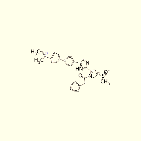 C/C=C(\C)c1ccc(-c2ccc(-c3cnc([C@@H]4C[C@H]([S+](C)[O-])CN4C(=O)Cc4ccccc4)[nH]3)cc2)cc1